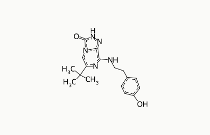 CC(C)(C)c1cn2c(=O)[nH]nc2c(NCCc2ccc(O)cc2)n1